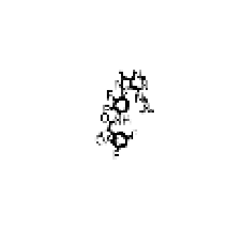 CC(=O)OC[C@H](C(=O)Nc1ccc(-n2nc(C)c3ncnc(/N=C/N(C)C)c32)c(F)c1F)c1cc(F)cc(F)c1